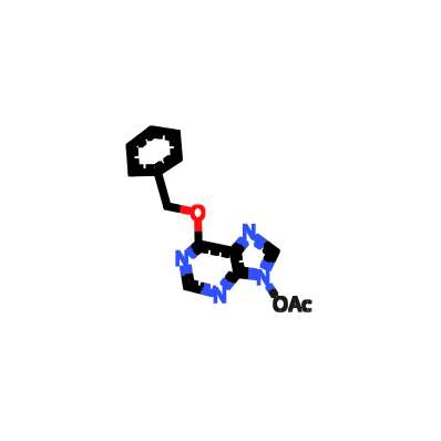 CC(=O)On1cnc2c(OCc3ccccc3)ncnc21